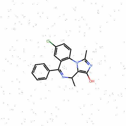 Cc1nc(O)c2n1-c1ccc(Cl)cc1C(c1ccccc1)=NC2C